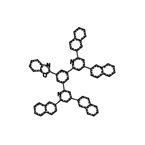 c1ccc2cc(-c3cc(-c4cc(-c5cc(-c6ccc7ccccc7c6)cc(-c6ccc7ccccc7c6)n5)cc(-c5nc6ccccc6o5)c4)nc(-c4ccc5ccccc5c4)c3)ccc2c1